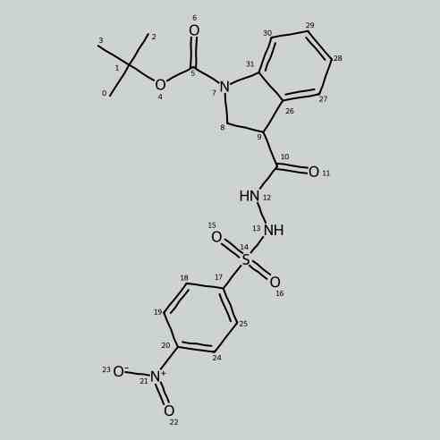 CC(C)(C)OC(=O)N1CC(C(=O)NNS(=O)(=O)c2ccc([N+](=O)[O-])cc2)c2ccccc21